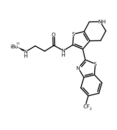 CC[C@H](C)NCCC(=O)Nc1sc2c(c1-c1nc3cc(C(F)(F)F)ccc3s1)CCNC2